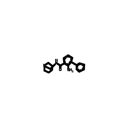 Nc1c(C(=O)NC2CN3CCC2CC3)cccc1-c1ccccc1